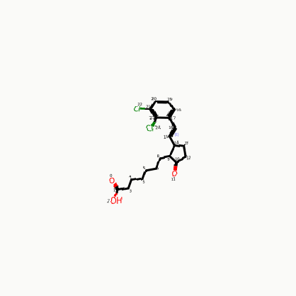 O=C(O)CCCCCCC1C(=O)CCC1/C=C/c1cccc(Cl)c1Cl